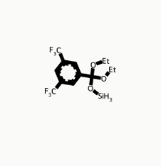 CCOC(O[SiH3])(OCC)c1cc(C(F)(F)F)cc(C(F)(F)F)c1